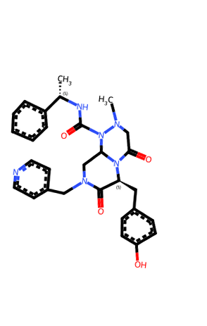 C[C@H](NC(=O)N1C2CN(Cc3ccncc3)C(=O)[C@H](Cc3ccc(O)cc3)N2C(=O)CN1C)c1ccccc1